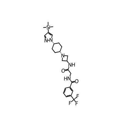 C[Si](C)(C)c1cnn([C@H]2CC[C@@H](N3CC(NC(=O)CNC(=O)c4cccc(C(F)(F)F)c4)C3)CC2)c1